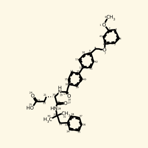 COc1cccc(OCc2ccc(-c3ccc(C(=O)N[C@@H](CCC(=O)O)C(=O)NC(C)(C)Cc4ccccc4)cc3)cc2)c1